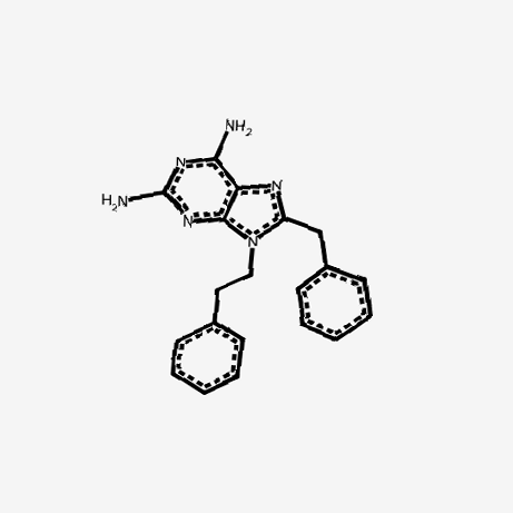 Nc1nc(N)c2nc(Cc3ccccc3)n(CCc3ccccc3)c2n1